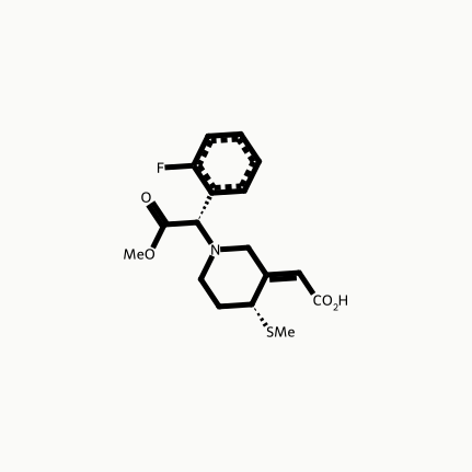 COC(=O)[C@H](c1ccccc1F)N1CC[C@@H](SC)/C(=C\C(=O)O)C1